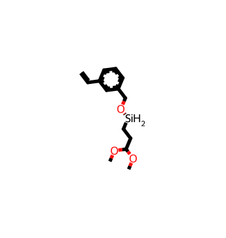 C=Cc1cccc(CO[SiH2]CCC(OC)OC)c1